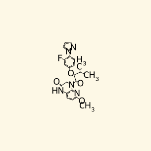 COc1ccc2c(n1)N(C(=O)C(Oc1ccc(-n3cccn3)c(F)c1)C(C)C)CC(=O)N2